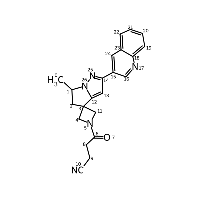 CC1CC2(CN(C(=O)CCC#N)C2)c2cc(-c3cnc4ccccc4c3)nn21